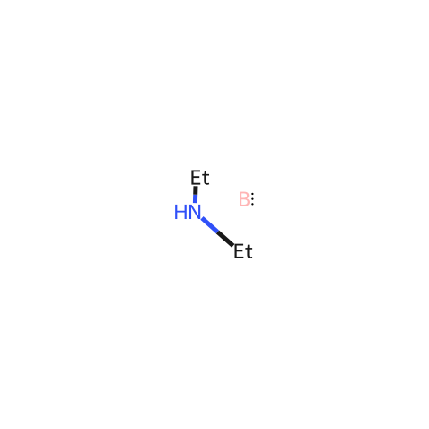 CCNCC.[B]